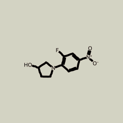 O=[N+]([O-])c1ccc(N2CCC(O)C2)c(F)c1